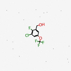 OCc1cc(OC(F)(F)F)cc(Cl)c1F